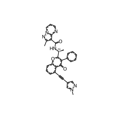 Cc1nn2cccnc2c1C(=O)N[C@@H](C)c1oc2cccc(C#Cc3cnn(C)c3)c2c(=O)c1-c1ccccc1